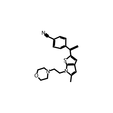 C=C(c1ccc(C#N)cc1)c1cc2cc(C)n(CCN3CCOCC3)c2s1